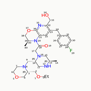 CCOC[C@@H]1COCCN1C[C@H]1CN[C@H](C)CN1CC(=O)N1c2cc(Cc3ccc(F)cc3)c(CO)nc2OC[C@@H]1C